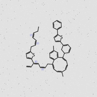 C=C/C(=C\C=C/Cc1ccc(C)cccc(C2C=CC=C(c3ccc(-c4ccccc4)s3)C2)c2cc(C)ccc12)c1ccc(C/C=C\C=C/CC)s1